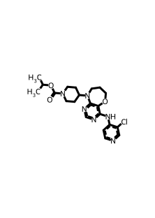 CC(C)OC(=O)N1CCC(N2CCCOc3c(Nc4ccncc4Cl)ncnc32)CC1